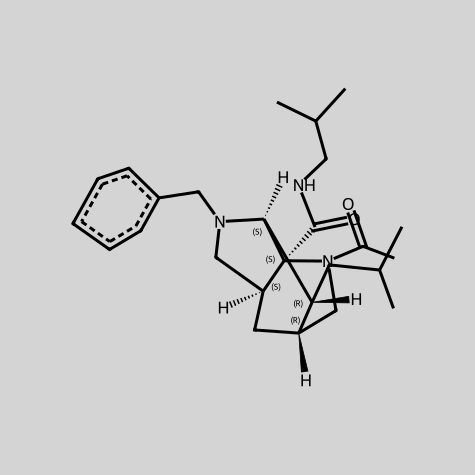 CC(=O)N1C[C@@H]2C[C@H]3CN(Cc4ccccc4)[C@@H]([C@@H]2CC(C)C)[C@]31C(=O)NCC(C)C